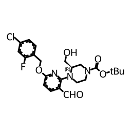 CC(C)(C)OC(=O)N1CCN(c2nc(OCc3ccc(Cl)cc3F)ccc2C=O)[C@@H](CO)C1